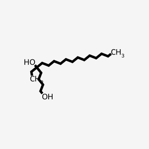 CCCCCCCCCCCCCC(O)(CC)CCCCO